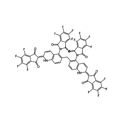 O=C1C(=C2C=Cc3c(ccc(Cc4ccc5c(c4N4C(=O)c6c(F)c(F)c(F)c(F)c6C4=O)C=CC(=C4C(=O)c6c(F)c(F)c(F)c(F)c6C4=O)N5)c3N3C(=O)c4c(F)c(F)c(F)c(F)c4C3=O)N2)C(=O)c2c(F)c(F)c(F)c(F)c21